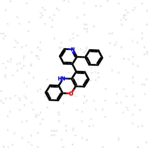 c1ccc(-c2ncccc2-c2cccc3c2Nc2ccccc2O3)cc1